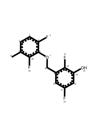 Cc1ccc(F)c(OCc2cc(F)cc(O)c2F)c1F